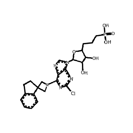 O=P(O)(O)CCCC1OC(n2cnc3c(N4CC5(CCc6ccccc65)C4)nc(Cl)nc32)C(O)C1O